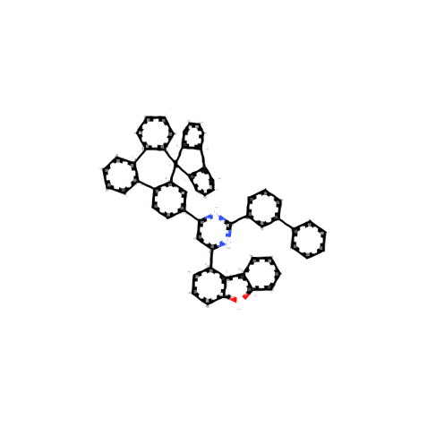 c1ccc(-c2cccc(-c3nc(-c4ccc5c(c4)C4(c6ccccc6-c6ccccc6-5)c5ccccc5-c5ccccc54)cc(-c4cccc5oc6ccccc6c45)n3)c2)cc1